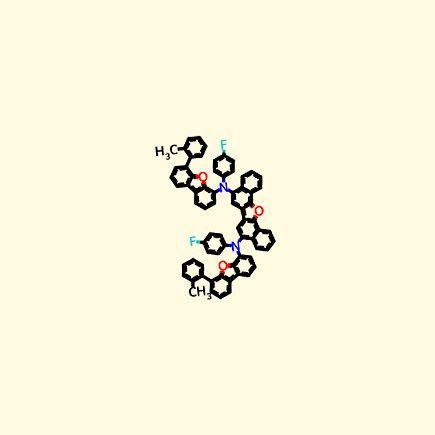 Cc1ccccc1-c1cccc2c1oc1c(N(c3ccc(F)cc3)c3cc4c5cc(N(c6ccc(F)cc6)c6cccc7c6oc6c(-c8ccccc8C)cccc67)c6ccccc6c5oc4c4ccccc34)cccc12